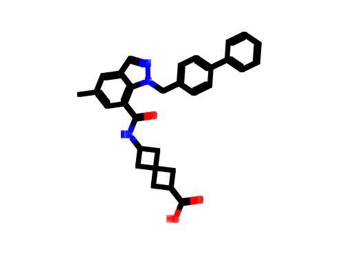 Cc1cc(C(=O)NC2CC3(C2)CC(C(=O)O)C3)c2c(cnn2Cc2ccc(-c3ccccc3)cc2)c1